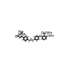 COC(=O)c1c(OC)cccc1Oc1ccc(COCc2ccc(C3=CC(=O)NS3(=O)=O)cc2)cc1